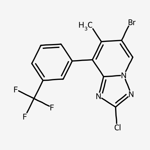 Cc1c(Br)cn2nc(Cl)nc2c1-c1cccc(C(F)(F)F)c1